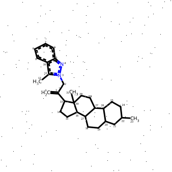 C=C(Cn1nc2ccccc2c1C)C1CCC2C3CCC4CC(C)CCC4C3CCC12C